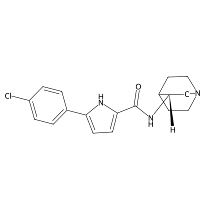 O=C(N[C@H]1CN2CCC1CC2)c1ccc(-c2ccc(Cl)cc2)[nH]1